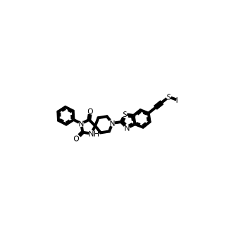 O=C1NC2(CCN(c3nc4ccc(C#CSI)cc4s3)CC2)C(=O)N1c1ccccc1